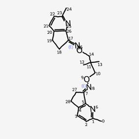 Cc1ccc2c(n1)/C(=N/OCC(C)(C)CO/N=C1\CCc3ccc(C)nc31)CC2